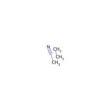 CC.CC#N